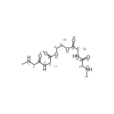 CNCC(=O)N[C@@H](C)C(=O)OC[C@H](C)OC(=O)[C@H](C)NC(=O)CNC